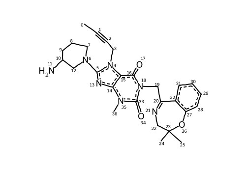 CC#CCn1c(N2CCCC(N)C2)nc2c1c(=O)n(CC1=NCC(C)(C)Oc3ccccc31)c(=O)n2C